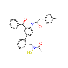 CC(=O)N(S)Cc1ccccc1-c1ccc(NC(=O)Cc2ccc(C)cc2)c(C(=O)c2ccccc2)c1